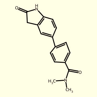 CN(C)C(=O)c1ccc(-c2ccc3c(c2)CC(=O)N3)cc1